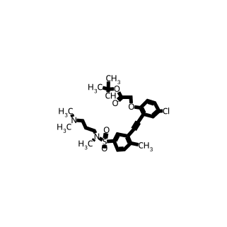 Cc1ccc(S(=O)(=O)N(C)CCCN(C)C)cc1C#Cc1cc(Cl)ccc1OCC(=O)OC(C)(C)C